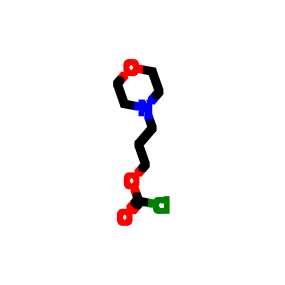 O=C(Cl)OCCCN1CCOCC1